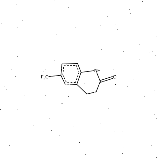 O=C1CCc2cc(C(F)(F)F)ccc2N1